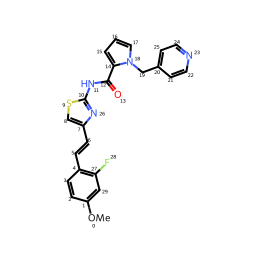 COc1ccc(C=Cc2csc(NC(=O)c3cccn3Cc3ccncc3)n2)c(F)c1